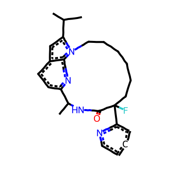 CC(C)c1cc2ccc3nc2n1CCCCCCC(F)(c1ccccn1)C(=O)NC3C